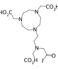 O=C(O)CN1CCN(CCN(CC(=O)O)CC(=O)I)CCN(CC(=O)O)CC1